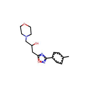 Cc1ccc(-c2noc(CC(O)CN3CCOCC3)n2)cc1